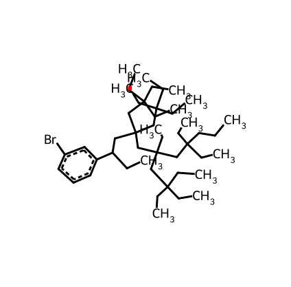 CCCC(CC)(CC)CC(CC)(CC(CC)(CC)CC)CC(CC(CC)c1cccc(Br)c1)(CC(CC)(CC)CC)CC(CC)(CC)CC